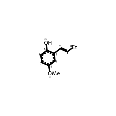 CC/C=C/c1cc(OC)ccc1O